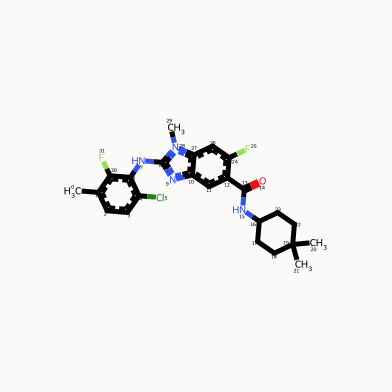 Cc1ccc(Cl)c(Nc2nc3cc(C(=O)NC4CCC(C)(C)CC4)c(F)cc3n2C)c1F